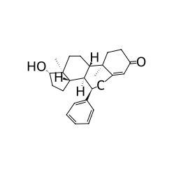 C[C@]12CC[C@H]3[C@@H]([C@H](c4ccccc4)CC4=CC(=O)CC[C@@]43C)[C@@H]1CC[C@@H]2O